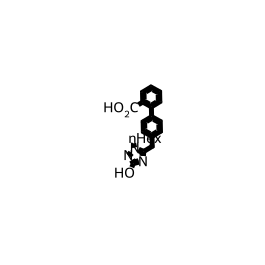 CCCCCCn1nc(O)nc1Cc1ccc(-c2ccccc2C(=O)O)cc1